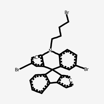 BrCCCCN1c2ccc(Br)cc2C2(c3ccccc3-c3ccccc32)c2cc(Br)ccc21